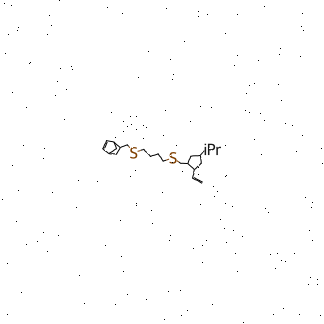 C=CC1CC(C(C)C)CC1CSCCCCSCC1CC2C=CC1C2